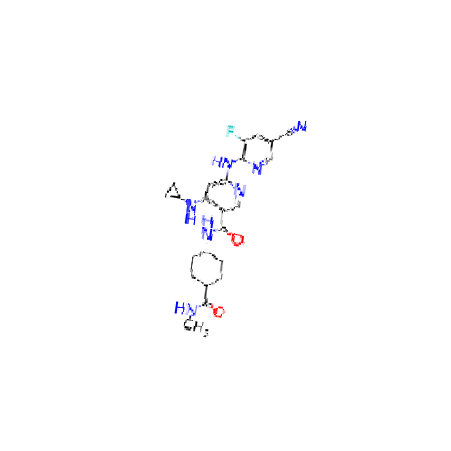 CNC(=O)[C@H]1CC[C@H](NC(=O)c2cnc(Nc3ncc(C#N)cc3F)cc2NC2CC2)CC1